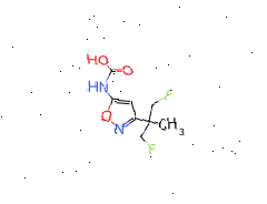 CC(CF)(CF)c1cc(NC(=O)O)on1